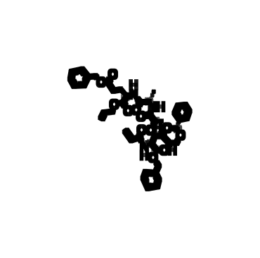 C=CCOC(=O)[C@@H](CCC(=O)OCc1ccccc1)NC(=O)[C@H](C)NC(=O)[C@@H](C)O[C@@H]1[C@@H](NC(=O)C=C)[C@@H](OCc2ccccc2)O[C@@H]2CO[C@@H](c3ccccc3)O[C@@H]12